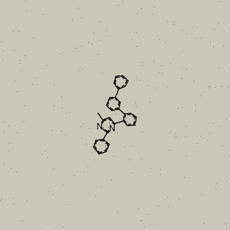 Cc1cc(-c2ccccc2-c2cccc(-c3ccccc3)c2)nc(-c2ccccc2)n1